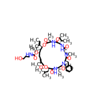 C/C=C(\C)[C@H]1OC(=O)[C@@H](C)NC(=O)[C@H](C(C)CC)NC(=O)CN(C)C(=O)[C@@H](Cc2ccccc2)N(C)C(=O)[C@H](C)NC(=O)[C@@H](CC(C)C)OC(=O)/C(C)=C/C[C@H](OC(=O)NCCCO)[C@@H]1C